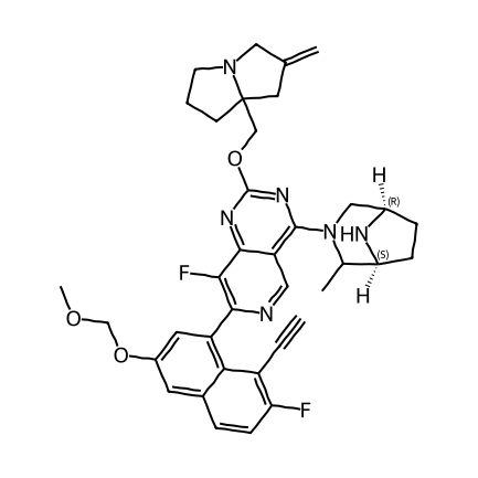 C#Cc1c(F)ccc2cc(OCOC)cc(-c3ncc4c(N5C[C@H]6CC[C@H](N6)C5C)nc(OCC56CCCN5CC(=C)C6)nc4c3F)c12